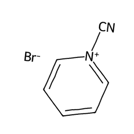 N#C[n+]1ccccc1.[Br-]